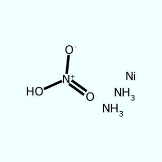 N.N.O=[N+]([O-])O.[Ni]